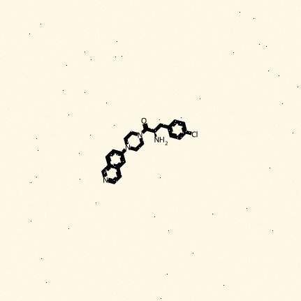 N[C@H](Cc1ccc(Cl)cc1)C(=O)N1CCN(c2ccc3cnccc3c2)CC1